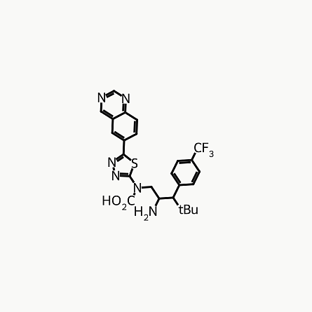 CC(C)(C)C(c1ccc(C(F)(F)F)cc1)C(N)CN(C(=O)O)c1nnc(-c2ccc3ncncc3c2)s1